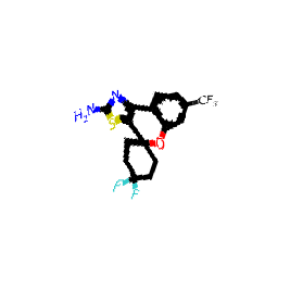 Nc1nc2c(s1)C1(CCC(F)(F)CC1)Oc1cc(C(F)(F)F)ccc1-2